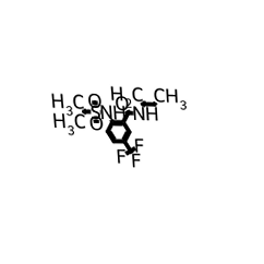 C=C(CC)NC(=O)c1cc(C(F)(F)F)ccc1NS(=O)(=O)C(C)C